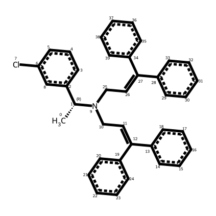 C[C@H](c1cccc(Cl)c1)N(CC=C(c1ccccc1)c1ccccc1)CC=C(c1ccccc1)c1ccccc1